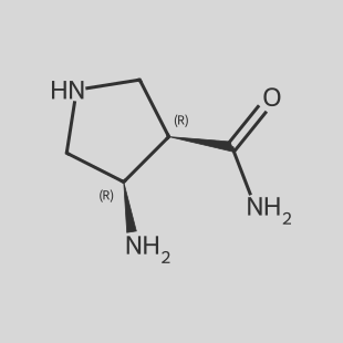 NC(=O)[C@@H]1CNC[C@@H]1N